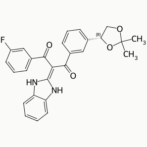 CC1(C)OC[C@@H](c2cccc(C(=O)C(C(=O)c3cccc(F)c3)=C3Nc4ccccc4N3)c2)O1